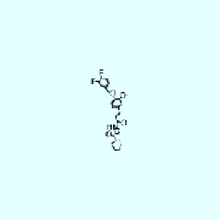 COc1cc(/C=C/C(=O)NOC(=O)C2CCCCC2)ccc1OCc1ccc(F)c(F)c1